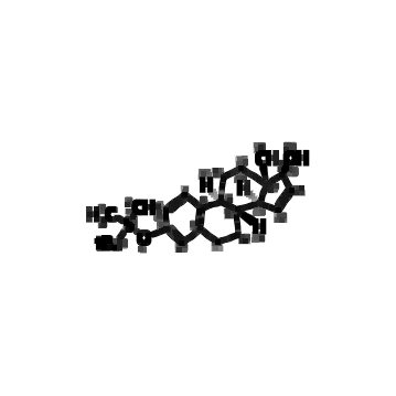 CC(C)(C)[Si](C)(C)Oc1ccc2c(c1)CC[C@@H]1[C@@H]2CC[C@]2(C)[C@@H](O)C=C[C@@H]12